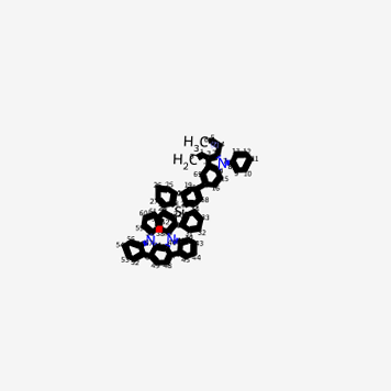 C=Cc1c(/C=C\C)n(-c2ccccc2)c2ccc(-c3ccc([Si](c4ccccc4)(c4ccccc4)c4cccc(-n5c6ccccc6c6ccc7c8ccccc8n(-c8ccccc8)c7c65)c4)cc3)cc12